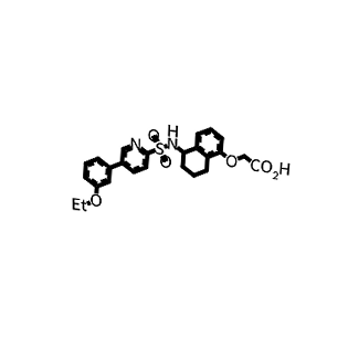 CCOc1cccc(-c2ccc(S(=O)(=O)NC3CCCc4c(OCC(=O)O)cccc43)nc2)c1